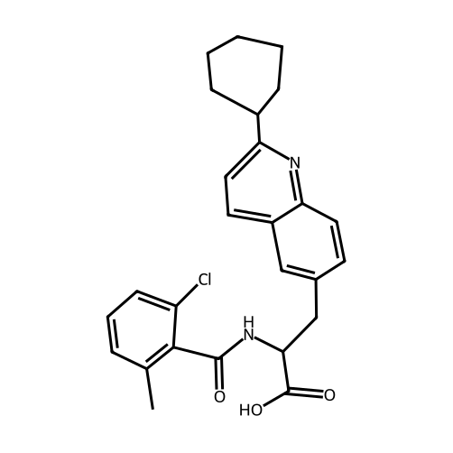 Cc1cccc(Cl)c1C(=O)NC(Cc1ccc2nc(C3CCCCC3)ccc2c1)C(=O)O